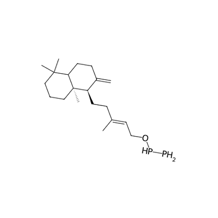 C=C1CCC2C(C)(C)CCC[C@]2(C)[C@@H]1CC/C(C)=C/COPP